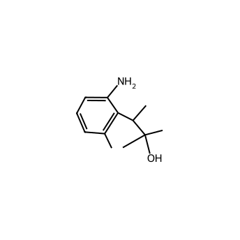 Cc1cccc(N)c1C(C)C(C)(C)O